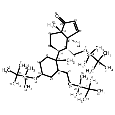 CC(C)(C)[Si](C)(C)OC[C@@H]1[C@@H]([C@@]2(C)CC[C@H](O[Si](C)(C)C(C)(C)C)C[C@@H]2CO[Si](C)(C)C(C)(C)C)CC[C@]2(C)C(=O)C=C[C@@H]12